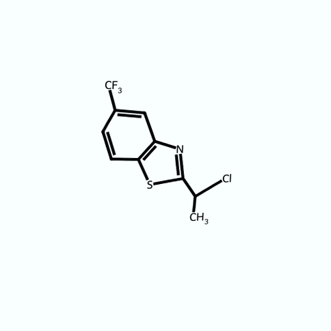 CC(Cl)c1nc2cc(C(F)(F)F)ccc2s1